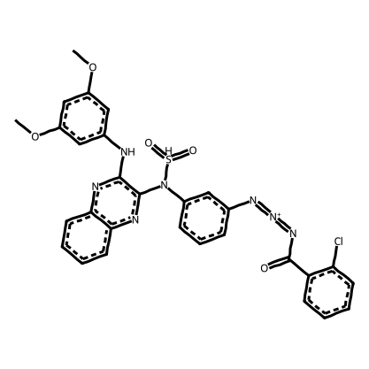 COc1cc(Nc2nc3ccccc3nc2N(c2cccc(N=[N+]=NC(=O)c3ccccc3Cl)c2)[SH](=O)=O)cc(OC)c1